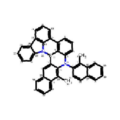 Cc1c(N2c3cccc4c3B(c3cc5ccccc5c(C)c32)n2c3ccccc3c3cccc-4c32)ccc2ccccc12